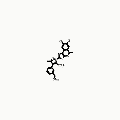 COCc1cccc(-c2c(C)nn(-c3nc4c(s3)SC(C)c3cc(Cl)c(Cl)cc3-4)c2C(=O)O)c1